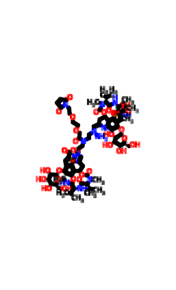 CNC(=O)[C@@H](NC(=O)[C@H](C(C)C)N(C)C(=O)OC(C/C(N)=C/N(N)CCN(CCn1cc(CC(OC(=O)N(C)[C@H](C(=O)N[C@H](C(=O)NC)C(C)C)C(C)C)c2ccc(O[C@@H]3O[C@H](CO)[C@H](O)[C@H](O)[C@H]3O)c3cc(C(=O)O)sc23)nn1)C(=O)COCCOCCN1C(=O)C=CC1=O)c1ccc(O[C@@H]2O[C@H](CO)[C@H](O)[C@H](O)[C@H]2O)c2cc(C(=O)O)sc12)C(C)C